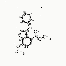 COC(=O)c1cnc(OC)c2nnn(Cc3ccccc3)c12